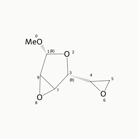 CO[C@@H]1O[C@H](C2CO2)C2OC21